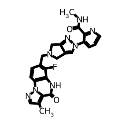 CNC(=O)c1ncccc1-n1cc2c(n1)CN(Cc1ccc3c([nH]c(=O)c4c(C)cnn43)c1F)C2